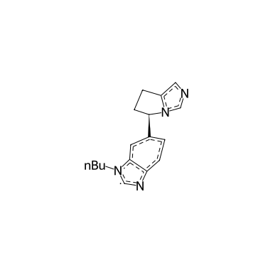 CCCCn1[c]nc2ccc([C@H]3CCc4cncn43)cc21